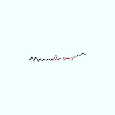 CCCCCCCCCCCCOC(=O)CCCOCCOCCCCCC